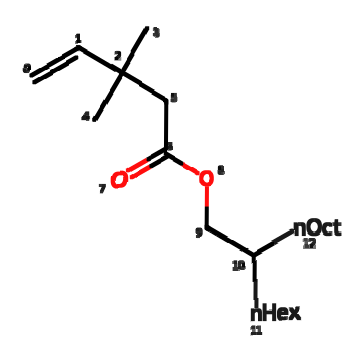 C=CC(C)(C)CC(=O)OCC(CCCCCC)CCCCCCCC